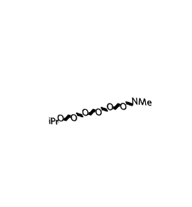 CNCCOCCOCCOCCOCCOCCOC(C)C